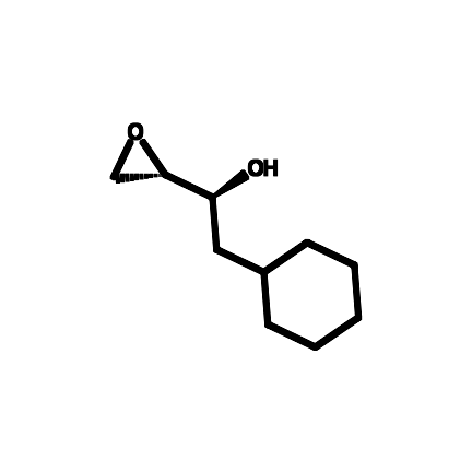 O[C@@H](CC1CCCCC1)[C@@H]1CO1